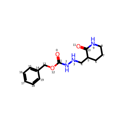 O=C(NNCC1CCCNC1=O)OCc1ccccc1